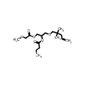 C=CCC(C)(C)COCC(COC(=O)COC)OC(=O)CCC